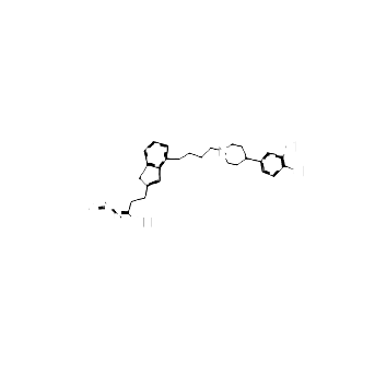 C=N/N=C(/C)CCC1=Cc2c(CCCCN3CCC(c4ccc(Cl)c(Cl)c4)CC3)cccc2C1